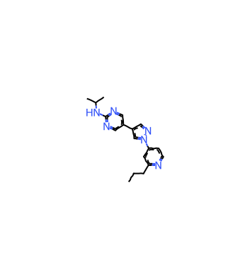 CCCc1cc(-n2cc(-c3cnc(NC(C)C)nc3)cn2)ccn1